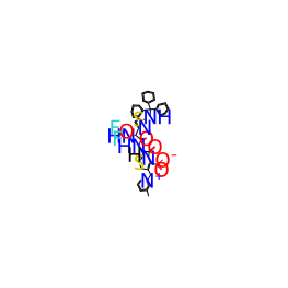 Cc1ccc[n+](CC2=C(C(=O)[O-])N3C(=O)C(NC(=O)C(NOC(F)F)c4csc(NC(c5ccccc5)(c5ccccc5)c5ccccc5)n4)[C@@H]3SC2)c1